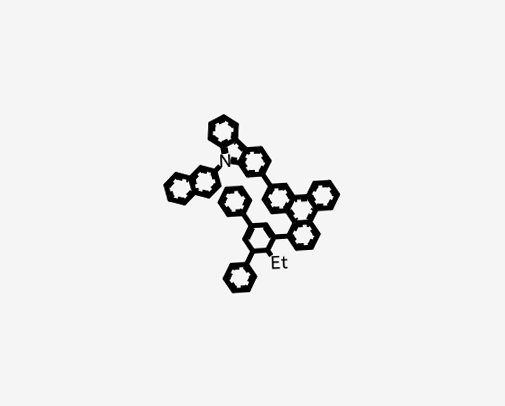 CCC1C(c2cccc3c4ccccc4c4cc(-c5ccc6c7ccccc7n(-c7ccc8ccccc8c7)c6c5)ccc4c23)=CC(c2ccccc2)=CC1c1ccccc1